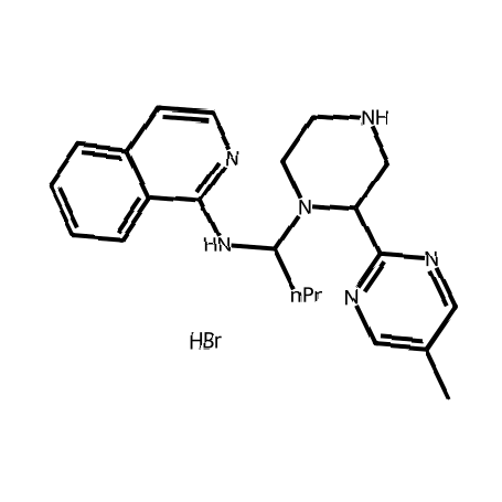 Br.CCCC(Nc1nccc2ccccc12)N1CCNCC1c1ncc(C)cn1